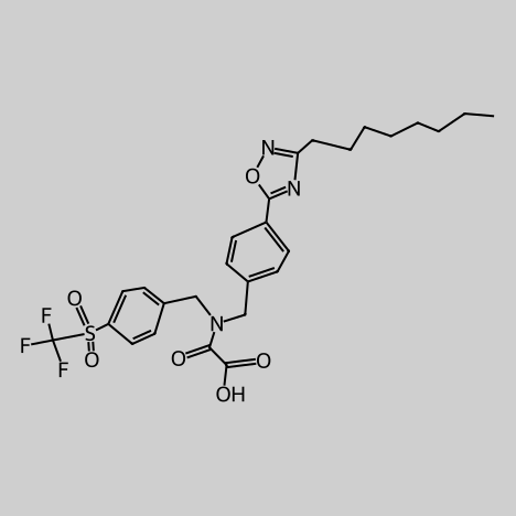 CCCCCCCCc1noc(-c2ccc(CN(Cc3ccc(S(=O)(=O)C(F)(F)F)cc3)C(=O)C(=O)O)cc2)n1